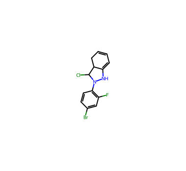 Fc1cc(Br)ccc1N1NC2=CC=CCC2C1Cl